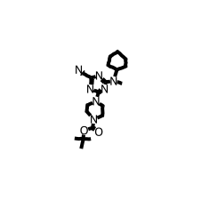 CN(c1nc(C#N)nc(N2CCN(C(=O)OC(C)(C)C)CC2)n1)C1CCCCC1